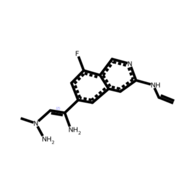 C=CNc1cc2cc(/C(N)=C/N(C)N)cc(F)c2cn1